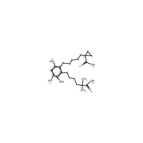 CC(C)(CCCCc1c(O)c(O)cc(O)c1CCCCCC1(C(=O)O)CC1)C(=O)O